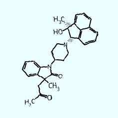 CC(=O)CC1(C)C(=O)N(C2CCN([C@H]3c4cccc5cccc(c45)[C@]3(C)O)CC2)c2ccccc21